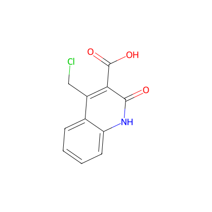 O=C(O)c1c(CCl)c2ccccc2[nH]c1=O